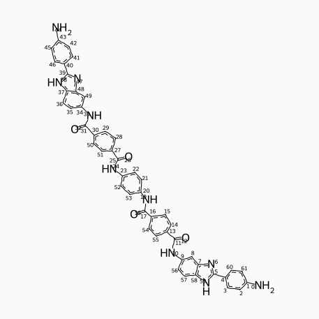 Nc1ccc(-c2nc3cc(NC(=O)c4ccc(C(=O)Nc5ccc(NC(=O)c6ccc(C(=O)Nc7ccc8[nH]c(-c9ccc(N)cc9)nc8c7)cc6)cc5)cc4)ccc3[nH]2)cc1